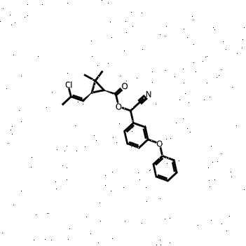 C/C(Cl)=C/[C@@H]1[C@H](C(=O)OC(C#N)c2cccc(Oc3ccccc3)c2)C1(C)C